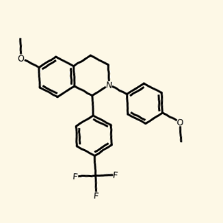 COc1ccc(N2CCc3cc(OC)ccc3C2c2ccc(C(F)(F)F)cc2)cc1